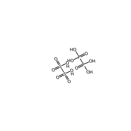 O=P(O)(O)P(=O)(O)O.O=S(=O)(O)S(=O)(=O)O